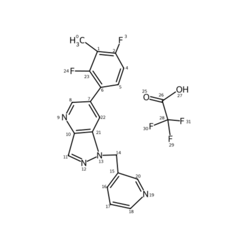 Cc1c(F)ccc(-c2cnc3cnn(Cc4cccnc4)c3c2)c1F.O=C(O)C(F)(F)F